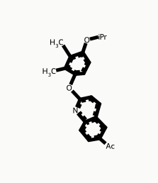 CC(=O)c1ccc2nc(Oc3ccc(OC(C)C)c(C)c3C)ccc2c1